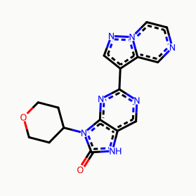 O=c1[nH]c2cnc(-c3cnn4ccncc34)nc2n1C1CCOCC1